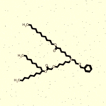 CCCCCCCCCCCOC(=O)CCCCCN(CCCCCOCC(=O)OC(CCCCCCCC)CCCCCCCC)CCOCc1ccccc1